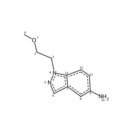 COCCn1ncc2cc(N)ccc21